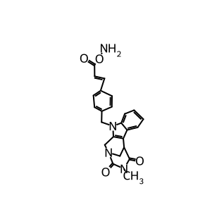 CN1C(=O)C2CN(Cc3c2c2ccccc2n3Cc2ccc(/C=C/C(=O)ON)cc2)C1=O